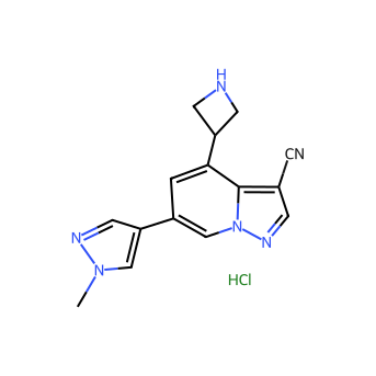 Cl.Cn1cc(-c2cc(C3CNC3)c3c(C#N)cnn3c2)cn1